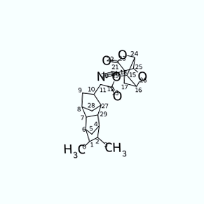 CC1C(C)C2CC1C1C3CC(CC(=O)OC4C5CC6(C#N)C(=O)OC4C6O5)C(C3)C21